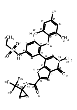 CCS(=O)(=O)Nc1ccc(Oc2c(C)cc(F)cc2C)c(-c2cn(C)c(=O)c3cc(C(=O)NC4(C(F)(F)F)CC4)sc23)c1